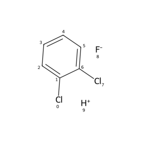 Clc1ccccc1Cl.[F-].[H+]